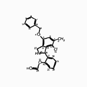 Cc1cc(OCc2ccccc2)c2c(c1Cl)C(c1ccccc1OC=O)NC2